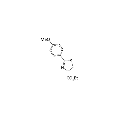 CCOC(=O)C1CSC(c2ccc(OC)cc2)=N1